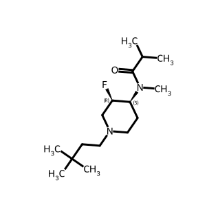 CC(C)C(=O)N(C)[C@H]1CCN(CCC(C)(C)C)C[C@H]1F